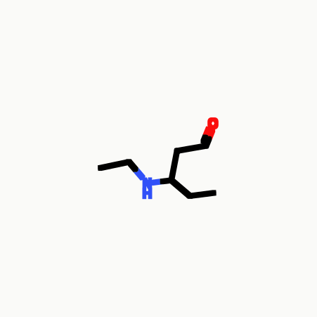 CCNC(CC)CC=O